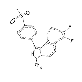 CS(=O)(=O)c1ccc(-n2nc(C(F)(F)F)c3ccc4c(F)c(F)ccc4c32)cc1